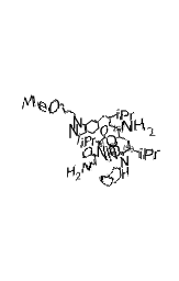 COCCCn1nc(C)c2ccc(CC(C[C@H](N)C(C[C@H](C(=O)NC3CCOCC3)C(C)C)OC(=O)[C@@H](NC(=O)CN)C(C)C)C(C)C)cc21